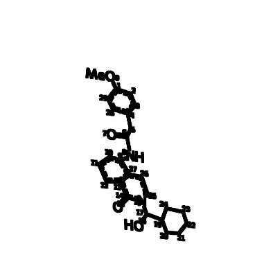 COc1ccc(CC(=O)Nc2cccc3c(=O)n(C(O)C4CCCCC4)ccc23)cc1